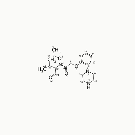 CCON(C(=O)COc1ccccc1N1CCNCC1)C(C=O)C(C)C